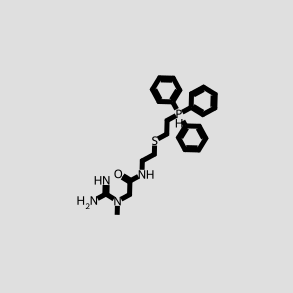 CN(CC(=O)NCCSCC[PH](c1ccccc1)(c1ccccc1)c1ccccc1)C(=N)N